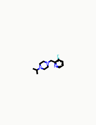 CC(C)N1CCN(Cc2ncccc2F)CC1